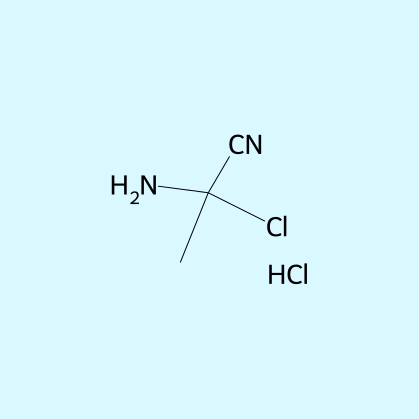 CC(N)(Cl)C#N.Cl